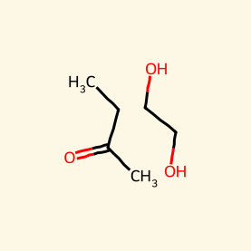 CCC(C)=O.OCCO